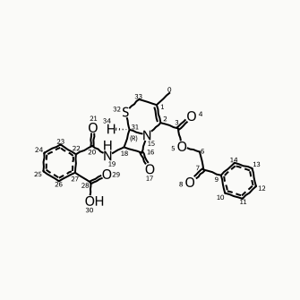 CC1=C(C(=O)OCC(=O)c2ccccc2)N2C(=O)C(NC(=O)c3ccccc3C(=O)O)[C@H]2SC1